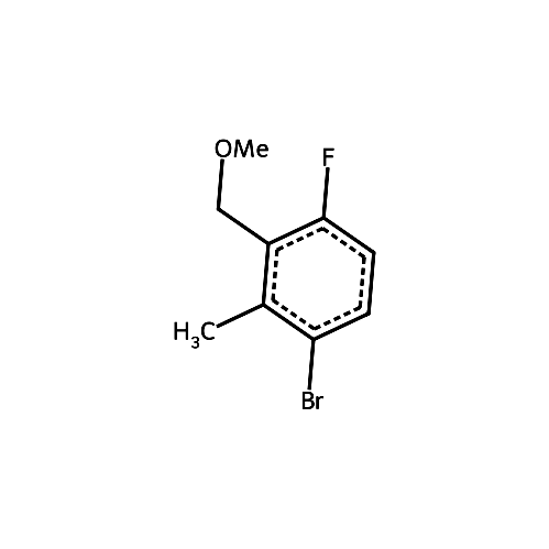 COCc1c(F)ccc(Br)c1C